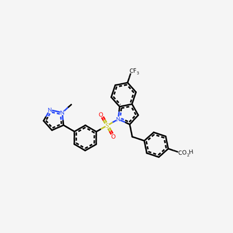 Cn1nccc1-c1cccc(S(=O)(=O)n2c(Cc3ccc(C(=O)O)cc3)cc3cc(C(F)(F)F)ccc32)c1